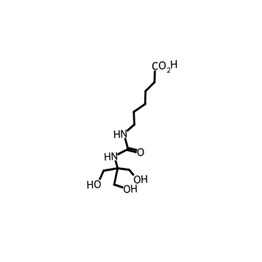 O=C(O)CCCCCNC(=O)NC(CO)(CO)CO